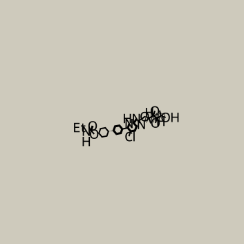 CCNC(=O)O[C@H]1CC[C@H](c2ccc(-c3nc4[nH]c(O[C@@H]5CO[C@H]6[C@@H]5OC[C@H]6O)nc4cc3Cl)cc2)CC1